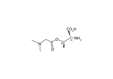 C[C@@H](OC(=O)CN(C)C)[C@H](N)C(=O)O